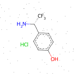 Cl.N[C@@H](c1ccc(O)cc1)C(F)(F)F